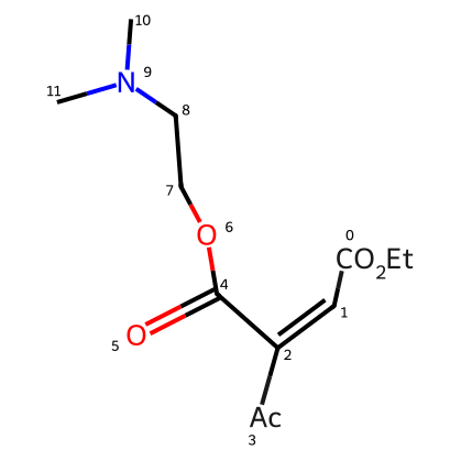 CCOC(=O)C=C(C(C)=O)C(=O)OCCN(C)C